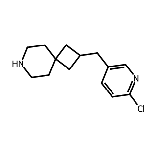 Clc1ccc(CC2CC3(CCNCC3)C2)cn1